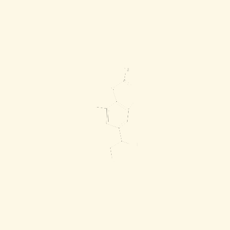 NC(=O)Nc1c(Cl)cc(C(O)CBr)cc1Cl